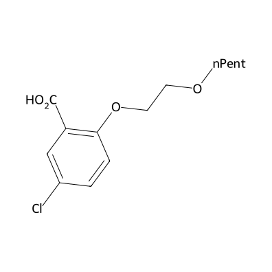 CCCCCOCCOc1ccc(Cl)cc1C(=O)O